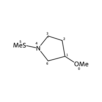 COC1C[CH]N(SC)C1